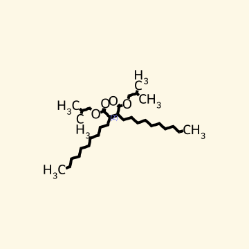 CCCCCCCCCC/C(C(=O)OCC(C)C)=C(\CCCCCCCCCC)C(=O)OCC(C)C